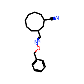 N#CC1CCCCCCC(/C=N/OCc2ccccc2)C1